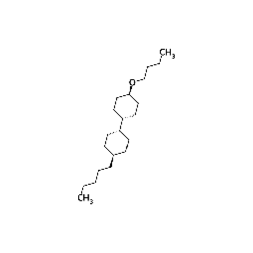 CCCCC[C@H]1CC[C@H]([C@H]2CC[C@H](OCCCC)CC2)CC1